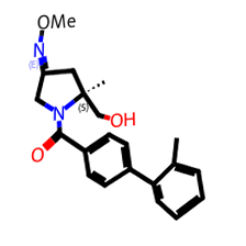 CO/N=C1/CN(C(=O)c2ccc(-c3ccccc3C)cc2)[C@](C)(CO)C1